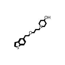 OC1CCN(CCCOCCc2ccc3sccc3c2)CC1